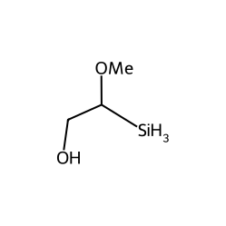 COC([SiH3])CO